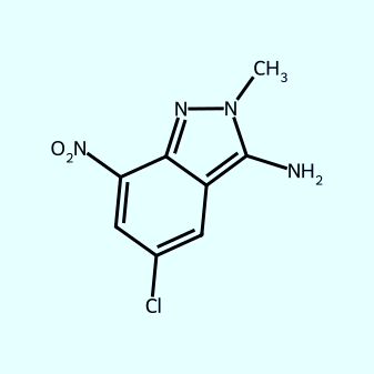 Cn1nc2c([N+](=O)[O-])cc(Cl)cc2c1N